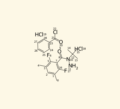 Cc1cc(C)c(F)c(C(=O)N(N)C(C)(C)C)c1F.Cl.Cl.O=C(Cl)c1ccccc1